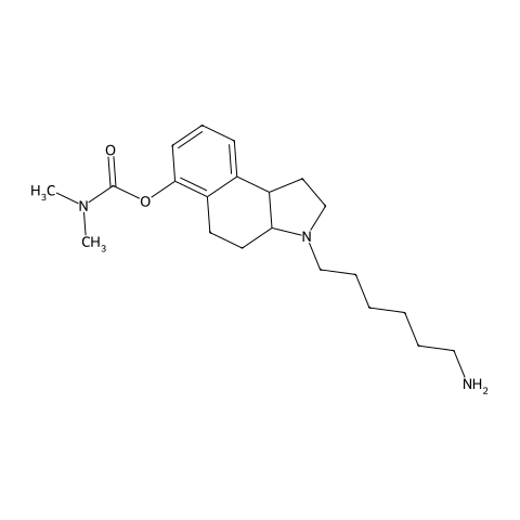 CN(C)C(=O)Oc1cccc2c1CCC1C2CCN1CCCCCCN